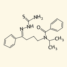 CC(C)N(CCCC(=NNC(N)=S)c1ccccc1)C(=O)c1ccccc1